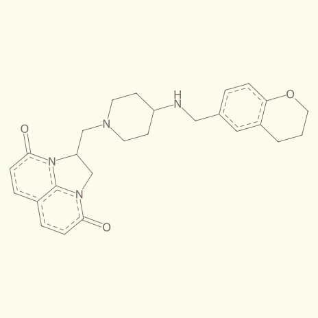 O=c1ccc2ccc(=O)n3c2n1CC3CN1CCC(NCc2ccc3c(c2)CCCO3)CC1